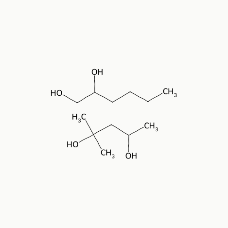 CC(O)CC(C)(C)O.CCCCC(O)CO